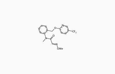 CON=CC(=O)N(C)c1ccccc1COc1ccc(C(F)(F)F)cn1